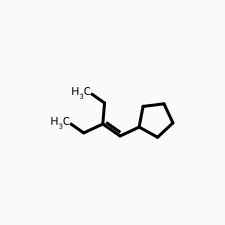 CCC(=CC1CCCC1)CC